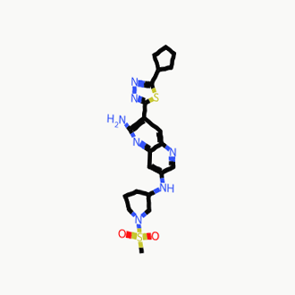 CS(=O)(=O)N1CCCC(Nc2cnc3cc(-c4nnc(C5CCCC5)s4)c(N)nc3c2)C1